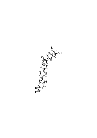 COCC(C)(C(=O)O)c1ccc(N2CC3(CCN(c4ccc(-c5nc6cc(C(F)(F)F)ccc6[nH]5)cn4)CC3)OC2=O)cc1